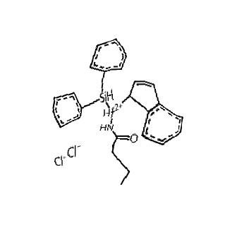 CCCC(=O)[NH][Hf+2]([CH]1C=Cc2ccccc21)[SiH](c1ccccc1)c1ccccc1.[Cl-].[Cl-]